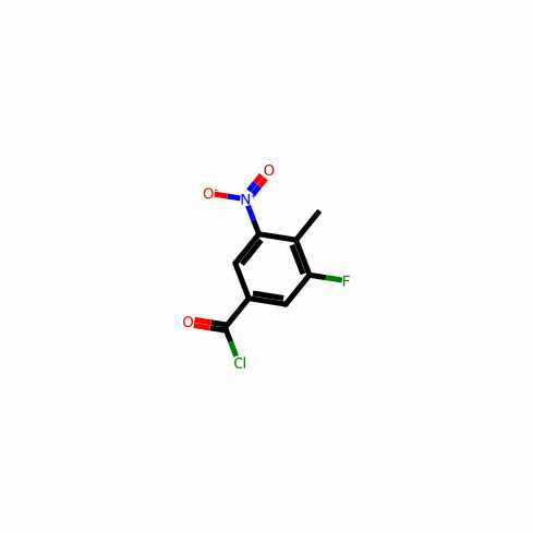 Cc1c(F)cc(C(=O)Cl)cc1[N+](=O)[O-]